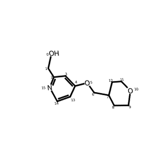 OCc1cc(OCC2CCOCC2)ccn1